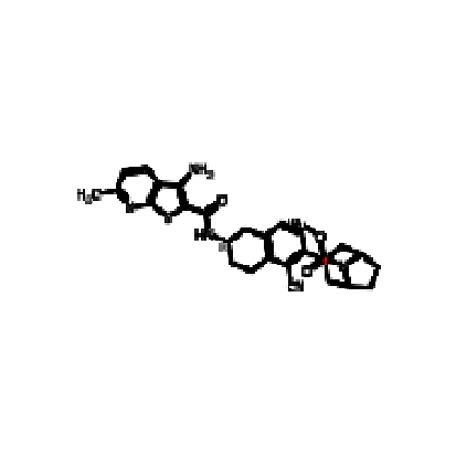 Cc1ccc2c(N)c(C(=O)N[C@@H]3CCc4c(ccc(N5CC6CCC(C5)N6C(=O)OC(C)(C)C)c4C#N)C3)sc2n1